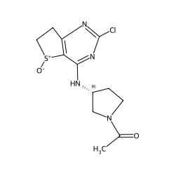 CC(=O)N1CC[C@@H](Nc2nc(Cl)nc3c2[S+]([O-])CC3)C1